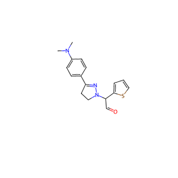 CN(C)c1ccc(C2=NN(C(C=O)c3cccs3)CC2)cc1